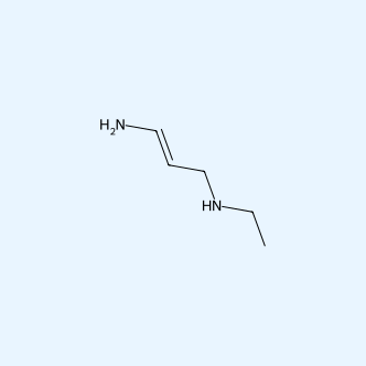 CCNC/C=C/N